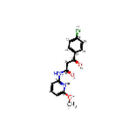 COc1cccc(NC(=O)CC(=O)c2ccc(Br)cc2)n1